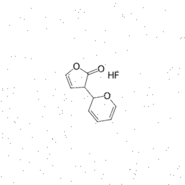 F.O=C1OC=CC1C1C=CC=CO1